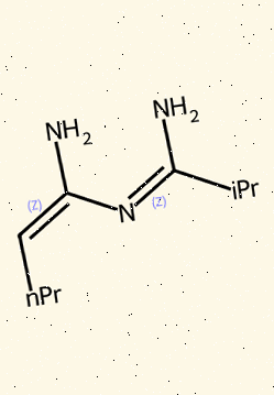 CCC/C=C(N)\N=C(/N)C(C)C